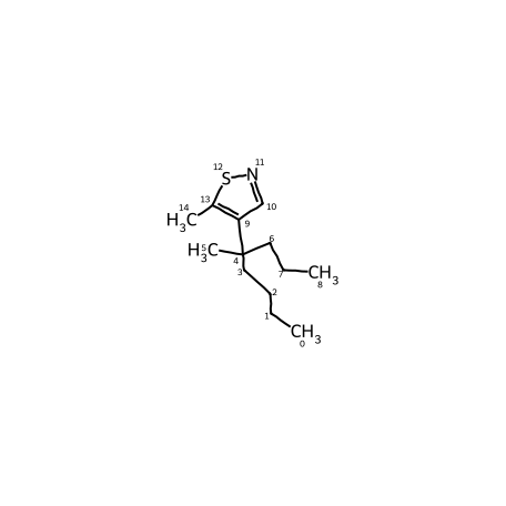 CCCCC(C)(CCC)c1cnsc1C